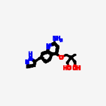 CC(CO)(CO)COc1cc(N)nc2cc(-c3ccn[nH]3)ccc12